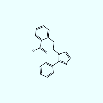 O=[N+]([O-])c1ccccc1CCn1ccnc1-c1ccccc1